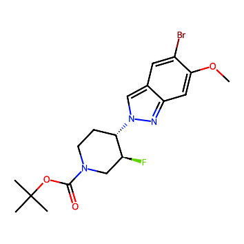 COc1cc2nn([C@H]3CCN(C(=O)OC(C)(C)C)C[C@@H]3F)cc2cc1Br